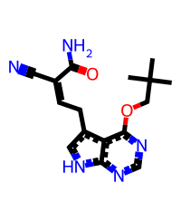 CC(C)(C)COc1ncnc2[nH]cc(CC=C(C#N)C(N)=O)c12